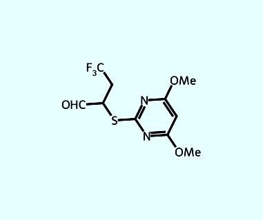 COc1cc(OC)nc(SC(C=O)CC(F)(F)F)n1